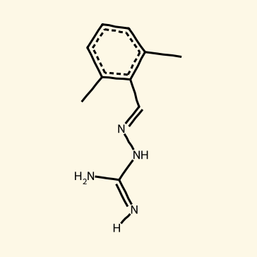 [H]/N=C(\N)NN=Cc1c(C)cccc1C